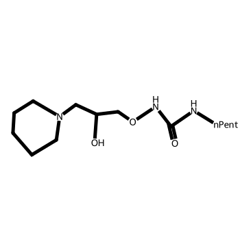 CCCCCNC(=O)NOCC(O)CN1CCCCC1